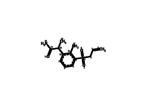 C=CCS(=O)(=O)c1cccc(C(C)C(N)=O)c1N